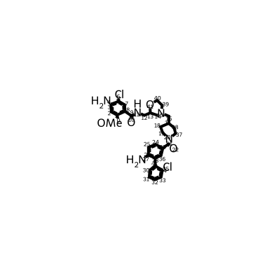 COc1cc(N)c(Cl)cc1C(=O)NCC1CN(CC2CCN(C(=O)c3ccc(N)c(-c4ccccc4Cl)c3)CC2)CCO1